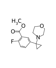 COC(=O)c1cc(C2(N3CCOCC3)CC2)ccc1F